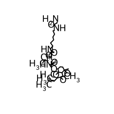 COC1C(OC(=O)N[C@@H](COC(=O)NCCCCCCNC(=O)CN)C(C)C)CCC2(CO2)C1[C@]1(C)OC1CC=C(C)C